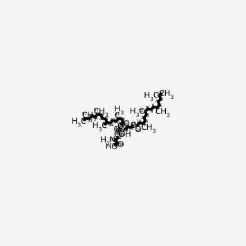 CC(C)CCCC(C)CCCC(C)CCCC(C)CC(=O)OCC(COP(=O)(O)OCC(N)C(=O)O)OC(=O)CC(C)CCCC(C)CCCC(C)CCCC(C)C